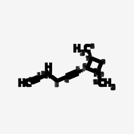 C#CNCC#C[C@@H]1[C@H](C)CN1C